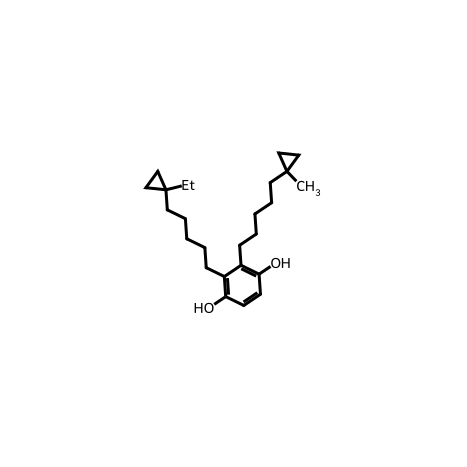 CCC1(CCCCCc2c(O)ccc(O)c2CCCCCC2(C)CC2)CC1